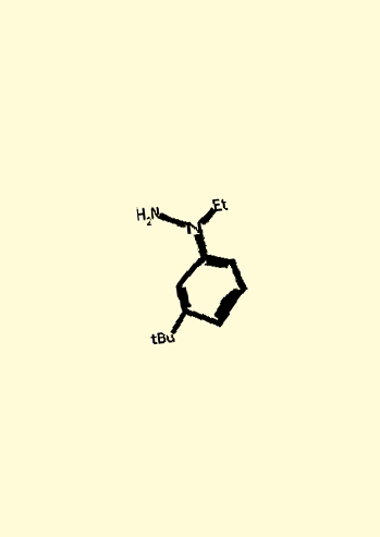 CCN(N)c1cccc(C(C)(C)C)c1